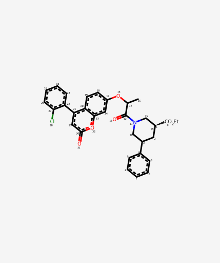 CCOC(=O)[C@H]1CC(c2ccccc2)CN(C(=O)C(C)Oc2ccc3c(-c4ccccc4Cl)cc(=O)oc3c2)C1